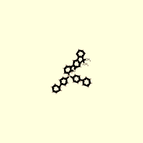 CC1(C)c2ccccc2-c2cc3c(cc21)oc1c(N(c2ccc(-c4ccccc4)cc2)c2ccc(-c4ccccc4)cc2)cccc13